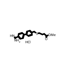 COC(=O)CCCSCc1ccc(-c2ccc(C(=N)N)cc2)cc1.Cl